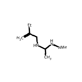 C=C(CC)CNC(C)NNC